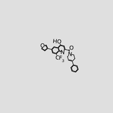 O=C(c1cc(O)c2cc(-c3ccoc3)cc(C(F)(F)F)c2n1)N1CC=C(c2ccccc2)CC1